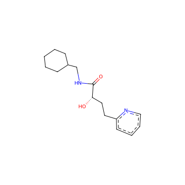 O=C(NCC1CCCCC1)[C@@H](O)CCc1ccccn1